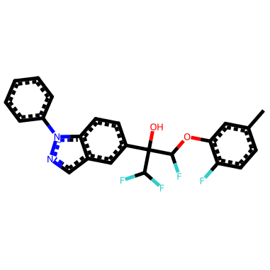 Cc1ccc(F)c(OC(F)C(O)(c2ccc3c(cnn3-c3ccccc3)c2)C(F)F)c1